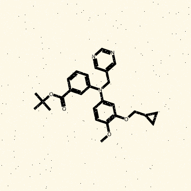 COc1ccc(N(Cc2cncnc2)c2cccc(C(=O)OC(C)(C)C)c2)cc1OCC1CC1